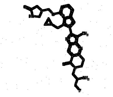 Cn1c(-c2cc3cccc(OCC4CNC(=O)C4)c3n2CC2CC2)nc2cc3c(nc21)CCN(CC(N)CF)C3=O